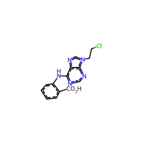 O=C(O)c1ccccc1Nc1ncnc2c1ncn2CCCl